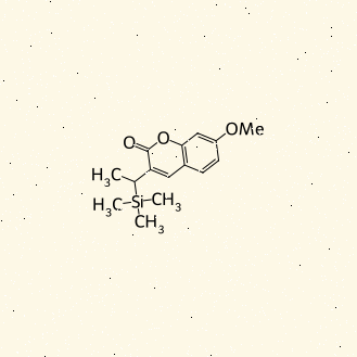 COc1ccc2cc(C(C)[Si](C)(C)C)c(=O)oc2c1